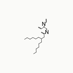 C=C/N=C(C=C)\C=N/C(=C)CC(CCCCCC)CCCCCC